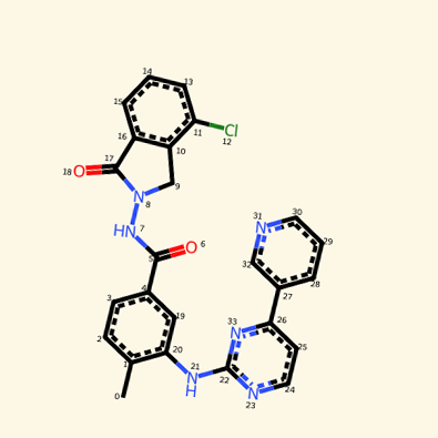 Cc1ccc(C(=O)NN2Cc3c(Cl)cccc3C2=O)cc1Nc1nccc(-c2cccnc2)n1